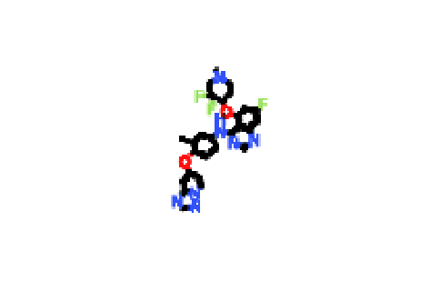 Cc1cc(Nc2ncnc3cc(F)cc(O[C@@H]4CCN(C)CC4(F)F)c23)ccc1Oc1ccn2ncnc2c1